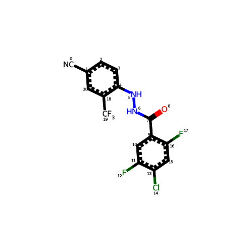 N#Cc1ccc(NNC(=O)c2cc(F)c(Cl)cc2F)c(C(F)(F)F)c1